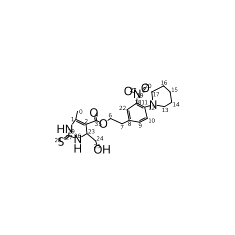 CC1=C(C(=O)OCCc2ccc(N3CCCCC3)c([N+](=O)[O-])c2)C(CO)NC(=S)N1